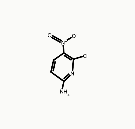 Nc1ccc([N+](=O)[O-])c(Cl)n1